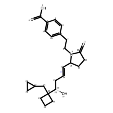 O=C(O)c1ccc(CCN2C(=O)CCC2/C=C/C[C@H](O)C2(CC3CC3)CCC2)cc1